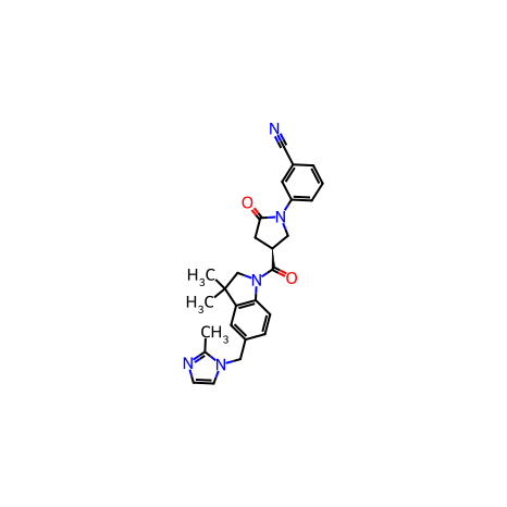 Cc1nccn1Cc1ccc2c(c1)C(C)(C)CN2C(=O)[C@H]1CC(=O)N(c2cccc(C#N)c2)C1